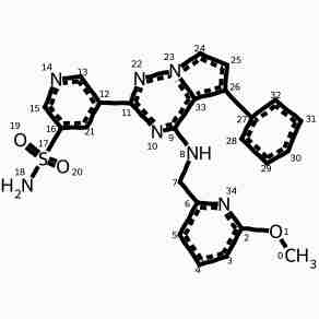 COc1cccc(CNc2nc(-c3cncc(S(N)(=O)=O)c3)nn3ccc(-c4ccccc4)c23)n1